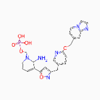 NC1C(c2cc(Cc3ccc(OCc4ccn5ccnc5c4)nc3)no2)=CC=CN1COP(=O)(O)O